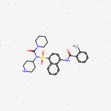 Cc1ccccc1C(=O)Nc1ccc(S(=O)(=O)N(C(=O)N2CCCCC2)C2CCNCC2)c2ccccc12